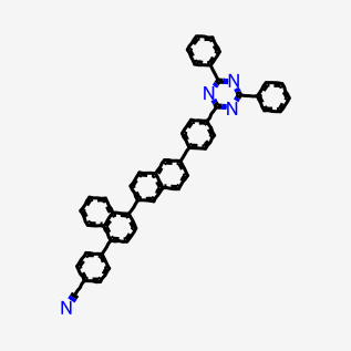 N#Cc1ccc(-c2ccc(-c3ccc4cc(-c5ccc(-c6nc(-c7ccccc7)nc(-c7ccccc7)n6)cc5)ccc4c3)c3ccccc23)cc1